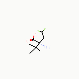 CC(C)(C)[C@@](N)(CC(F)F)C(=O)O